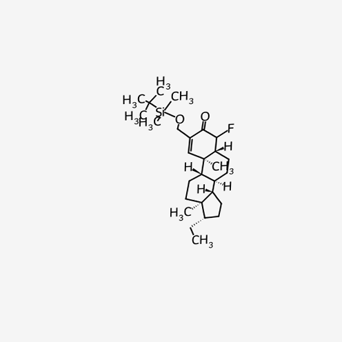 CC[C@H]1CC[C@H]2[C@@H]3CC[C@H]4C(F)C(=O)C(CO[Si](C)(C)C(C)(C)C)=C[C@]4(C)[C@H]3CC[C@]12C